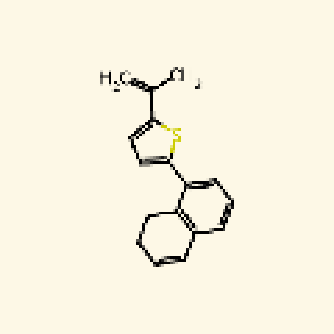 C=C(C)c1ccc(-c2cccc3c2CCC=C3)s1